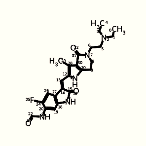 CCN(CC)CCN1CCc2[nH]c(C=C3C(=O)Nc4cc(NC=O)c(F)cc43)c(C)c2C1=O